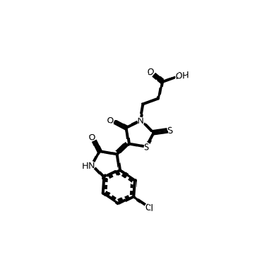 O=C(O)CCN1C(=O)/C(=C2\C(=O)Nc3ccc(Cl)cc32)SC1=S